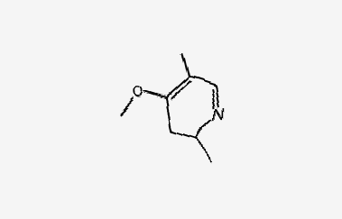 COC1=C(C)C=NC(C)C1